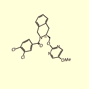 COc1cnc(OC[C@@H]2Cc3ccccc3CN2C(=O)c2ccc(Cl)c(Cl)c2)nc1